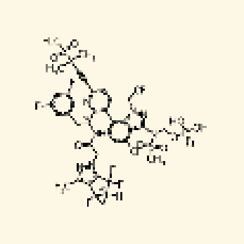 CC(C)(C#Cc1ccc(-c2ccc(Cl)c3c(N(COP(=O)(O)O)S(C)(=O)=O)nn(CC(F)(F)F)c23)c([C@H](Cc2cc(F)cc(F)c2)NC(=O)Cn2nc(C(F)(F)F)c3c2C(F)(F)[C@@H]2C[C@H]32)n1)S(C)(=O)=O